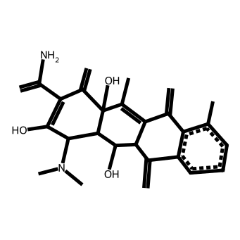 C=C(N)C1=C(O)C(N(C)C)C2C(O)C3C(=C)c4cccc(C)c4C(=C)C3=C(C)C2(O)C1=C